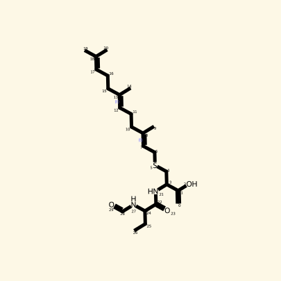 C=C(O)C(CSC/C=C(\C)CC/C=C(\C)CCC=C(C)C)NC(=O)C(CC)NC=O